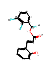 O=C(C=Cc1ccccc1O)OC(F)c1cccc(F)c1F